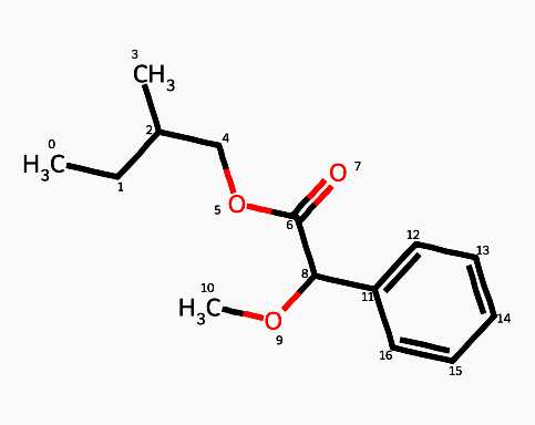 CCC(C)COC(=O)C(OC)c1ccccc1